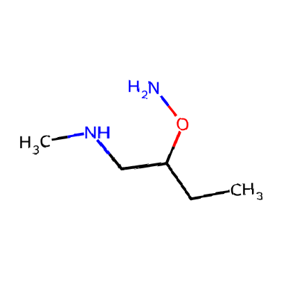 CCC(CNC)ON